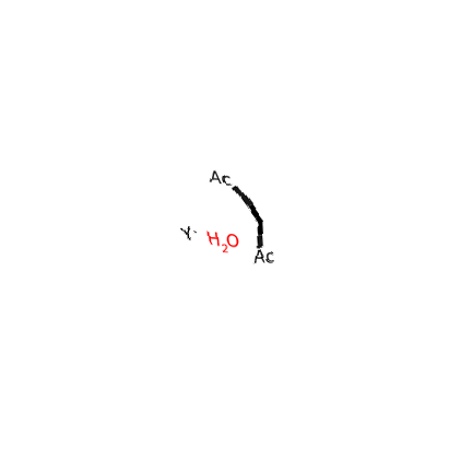 CC(=O)CC(C)=O.O.[Y]